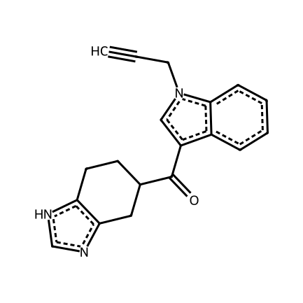 C#CCn1cc(C(=O)C2CCc3[nH]cnc3C2)c2ccccc21